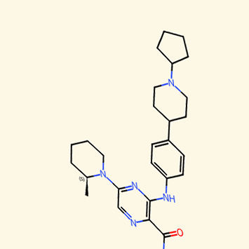 C[C@H]1CCCCN1c1cnc(C(N)=O)c(Nc2ccc(C3CCN(C4CCCC4)CC3)cc2)n1